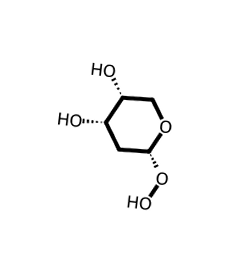 OO[C@@H]1C[C@H](O)[C@H](O)CO1